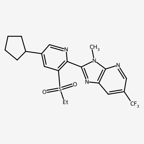 CCS(=O)(=O)c1cc(C2CCCC2)cnc1-c1nc2cc(C(F)(F)F)cnc2n1C